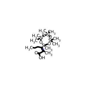 CCC/C(=C(/C)C(=O)O)[Si]1(C)O[Si](C)(C)O[Si](C)(C)O[Si](C)(C)O1